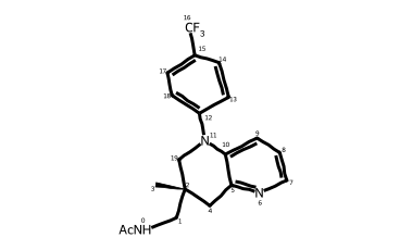 CC(=O)NC[C@@]1(C)Cc2ncccc2N(c2ccc(C(F)(F)F)cc2)C1